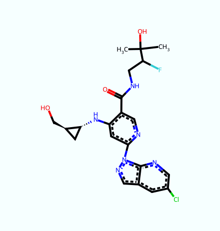 CC(C)(O)C(F)CNC(=O)c1cnc(-n2ncc3cc(Cl)cnc32)cc1N[C@@H]1C[C@H]1CO